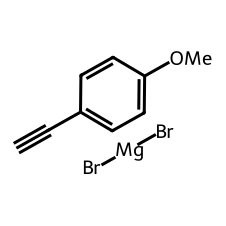 C#Cc1ccc(OC)cc1.[Br][Mg][Br]